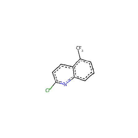 FC(F)(F)c1cccc2nc(Cl)ccc12